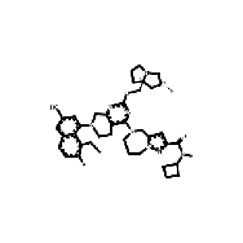 CCc1c(F)ccc2cc(O)cc(N3CCc4c(nc(OC[C@@]56CCCN5C[C@H](F)C6)nc4N4CCCn5nc(C(=O)N(C)C6CCC6)cc5C4)C3)c12